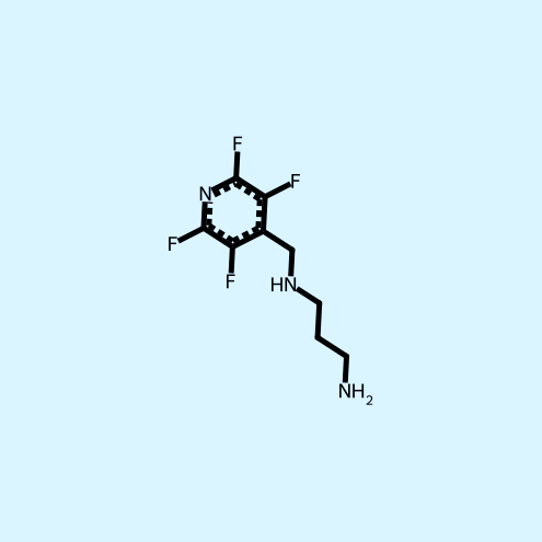 NCCCNCc1c(F)c(F)nc(F)c1F